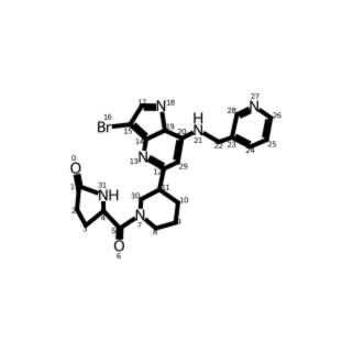 O=C1CCC(C(=O)N2CCCC(C3=NC4=C(Br)C=NC4C(NCc4cccnc4)=C3)C2)N1